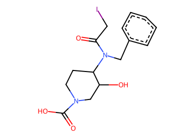 O=C(O)N1CCC(N(Cc2ccccc2)C(=O)CI)C(O)C1